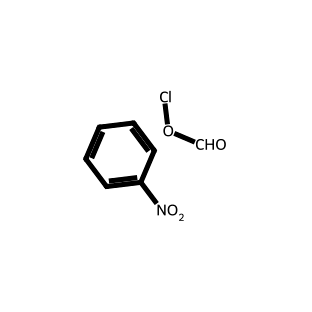 O=COCl.O=[N+]([O-])c1ccccc1